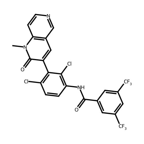 Cn1c(=O)c(-c2c(Cl)ccc(NC(=O)c3cc(C(F)(F)F)cc(C(F)(F)F)c3)c2Cl)cc2cnccc21